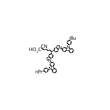 CCCc1ccc(-n2c3ccccc3c3ccc(N4CCc5cc(\C(=C/C=C/C=C(\C#N)C(=O)O)c6ccc7c(c6)CCN7c6ccc7c8ccccc8n(-c8ccc(C(C)CC)cc8)c7c6)ccc54)cc32)cc1